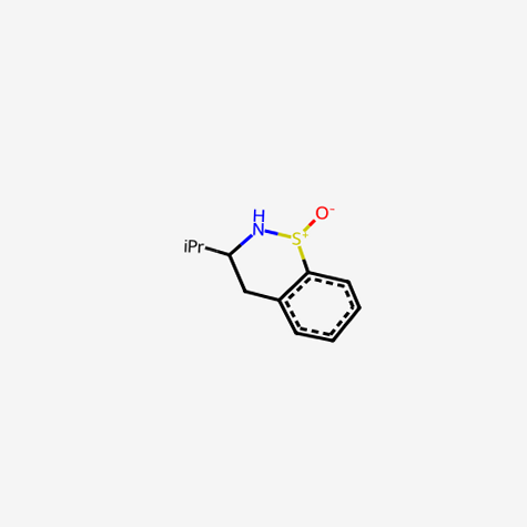 CC(C)C1Cc2ccccc2[S+]([O-])N1